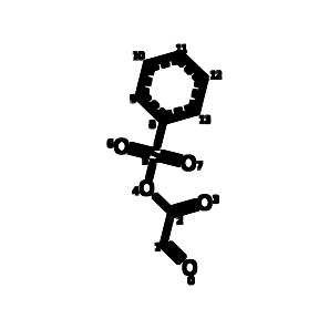 O=CC(=O)OS(=O)(=O)c1ccccc1